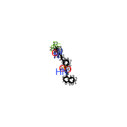 O=S(=O)(NCc1cccc2ccccc12)c1cccc(C=Cc2noc(C(F)(F)F)n2)c1